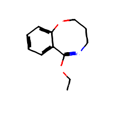 CC(C)(C)CO/C1=N/CCCOc2ccccc21